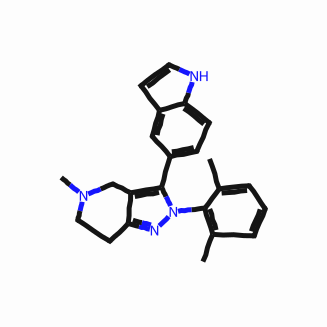 Cc1cccc(C)c1-n1nc2c(c1-c1ccc3[nH]ccc3c1)CN(C)CC2